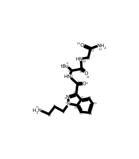 CC(C)(C)C(NC(=O)c1nn(CCCN)c2ccccc12)C(=O)NCC(N)=O